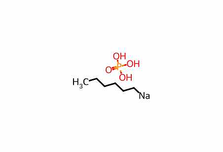 CCCCC[CH2][Na].O=P(O)(O)O